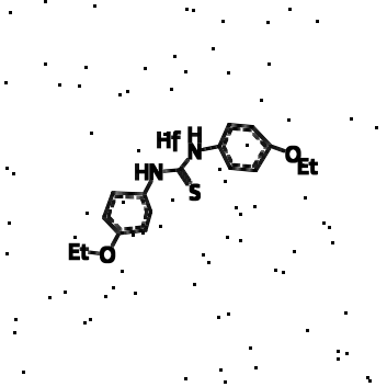 CCOc1ccc(NC(=S)Nc2ccc(OCC)cc2)cc1.[Hf]